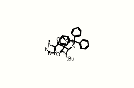 Cn1nnnc1C(=O)C1([SiH](C)C)C(=O)N(C(C)(C)C)C1SC(c1ccccc1)(c1ccccc1)c1ccccc1